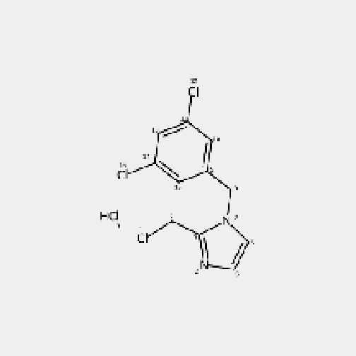 Cl.ClCc1nccn1Cc1cc(Cl)cc(Cl)c1